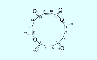 C[C@@H]1CCC(=O)/C=C\C(=O)O[C@H](C)CCC(=O)/C=C\C(=O)O1